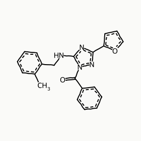 Cc1ccccc1CNc1nc(-c2ccco2)nn1C(=O)c1ccccc1